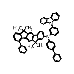 CC1(C)c2cc(N(c3ccc(-c4ccccc4)cc3)c3cccc(-n4c5ccccc5c5ccccc54)c3)ccc2-c2cc3c(cc21)-c1c(-c2ccccc2)cccc1C3(C)C